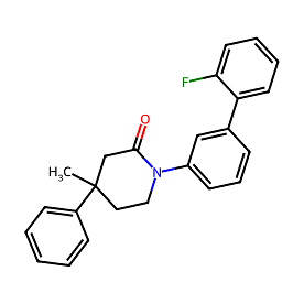 CC1(c2ccccc2)CCN(c2cccc(-c3ccccc3F)c2)C(=O)C1